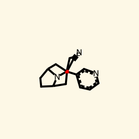 N#CC1(c2cccnc2)CC2CCC(C1)N2CCF